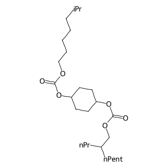 CCCCCC(CCC)COC(=O)OC1CCC(OC(=O)OCCCCCC(C)C)CC1